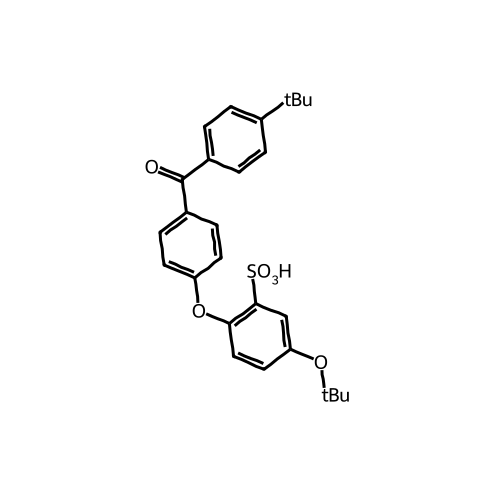 CC(C)(C)Oc1ccc(Oc2ccc(C(=O)c3ccc(C(C)(C)C)cc3)cc2)c(S(=O)(=O)O)c1